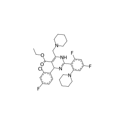 CCOC(=O)C1=C(CN2CCCCC2)NC(c2c(F)cc(F)cc2N2CCCCC2)=NC1c1ccc(F)cc1Cl